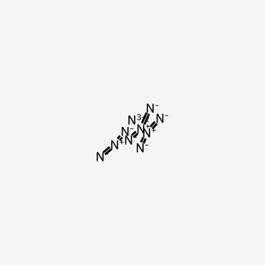 [N+3].[N-]=[N+]=[N-].[N-]=[N+]=[N-].[N-]=[N+]=[N-]